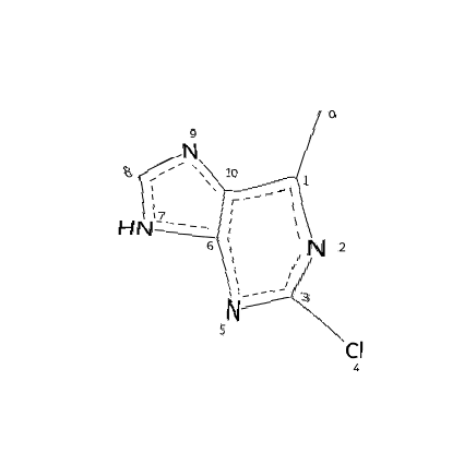 Cc1nc(Cl)nc2[nH]cnc12